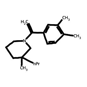 C=C(c1ccc(C)c(C)c1)N1CCCC(C)(CCC)C1